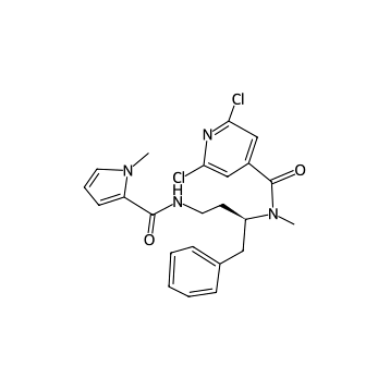 CN(C(=O)c1cc(Cl)nc(Cl)c1)[C@H](CCNC(=O)c1cccn1C)Cc1ccccc1